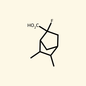 CC1C2CC(C1C)C(F)(C(=O)O)C2